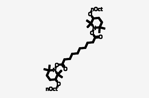 CCCCCCCCOC1CCC(C)(C)N(OC(=O)CCCCCCCCC(=O)ON2C(C)(C)CCC(OCCCCCCCC)C2(C)C)C1(C)C